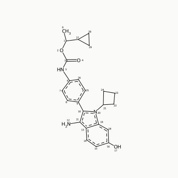 CC(OC(=O)Nc1ccc(-c2c(N)c3ccc(O)cc3n2C2CCC2)cc1)C1CC1